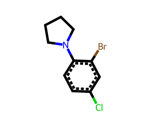 Clc1ccc(N2CCCC2)c(Br)c1